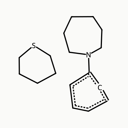 C1CCSCC1.c1ccc(N2CCCCCC2)cc1